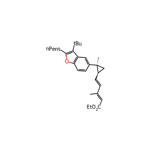 CCCCCc1oc2ccc([C@@]3(C)C[C@H]3/C=C/C(C)=C/C(=O)OCC)cc2c1C(C)(C)C